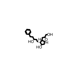 OCC1C[C@@H]2[C@@H](CC[C@@H](O)CCc3ccccc3)[C@H](O)C[C@@H]2O1